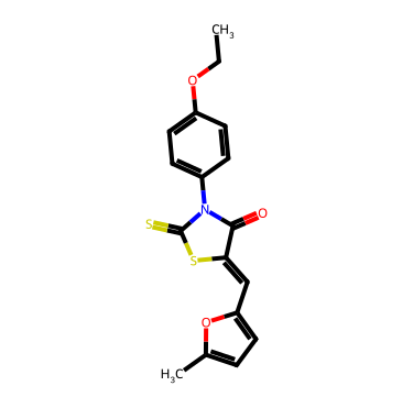 CCOc1ccc(N2C(=O)/C(=C/c3ccc(C)o3)SC2=S)cc1